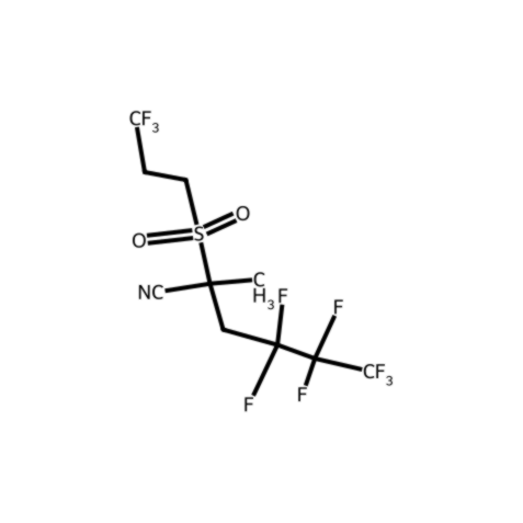 CC(C#N)(CC(F)(F)C(F)(F)C(F)(F)F)S(=O)(=O)CCC(F)(F)F